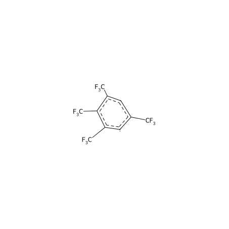 FC(F)(F)c1[c]c(C(F)(F)F)c(C(F)(F)F)c(C(F)(F)F)c1